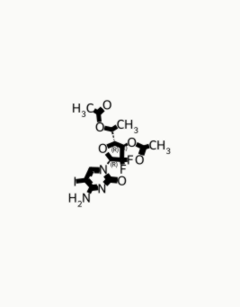 CC(=O)OC(C)[C@H]1O[C@@H](n2cc(I)c(N)nc2=O)C(F)(F)[C@@H]1OC(C)=O